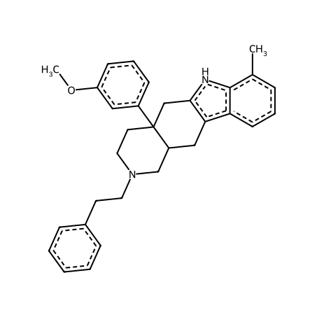 COc1cccc(C23CCN(CCc4ccccc4)CC2Cc2c([nH]c4c(C)cccc24)C3)c1